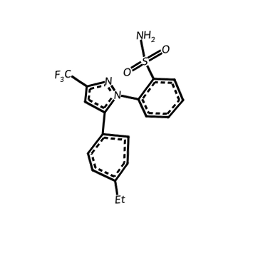 CCc1ccc(-c2cc(C(F)(F)F)nn2-c2ccccc2S(N)(=O)=O)cc1